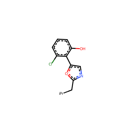 CC(C)Cc1ncc(-c2c(O)cccc2Cl)o1